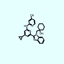 N#Cc1ccnc(Nc2cc(C3CC3)cc(-c3nc4ccccc4n3CC3(O)CCCCC3)n2)c1